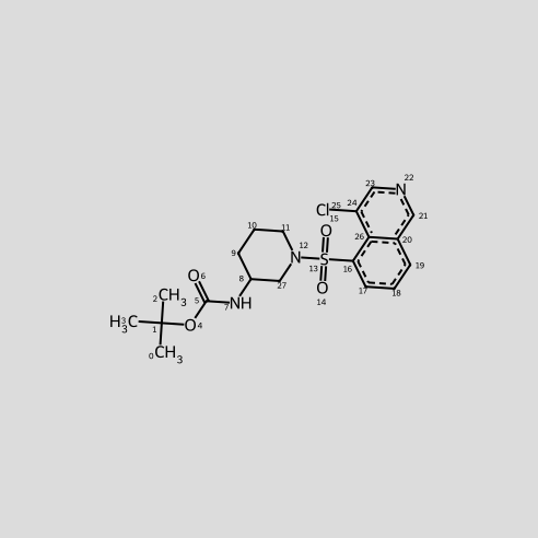 CC(C)(C)OC(=O)NC1CCCN(S(=O)(=O)c2cccc3cncc(Cl)c23)C1